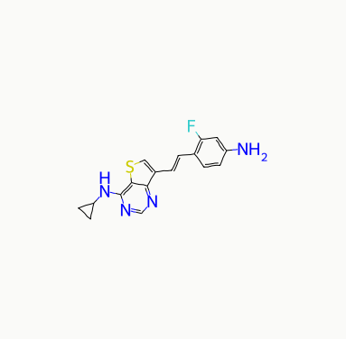 Nc1ccc(C=Cc2csc3c(NC4CC4)ncnc23)c(F)c1